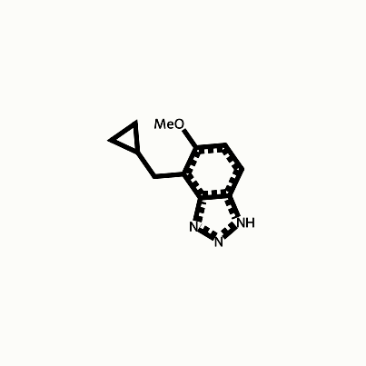 COc1ccc2[nH]nnc2c1CC1CC1